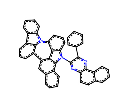 c1ccc(-c2nc3c(ccc4ccccc43)nc2-n2c3cccc4c3c3c(cc5ccccc5c32)c2cccc3c5ccccc5n4c23)cc1